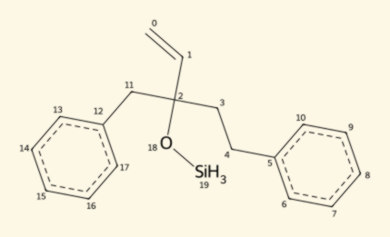 C=CC(CCc1ccccc1)(Cc1ccccc1)O[SiH3]